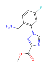 COC(=O)c1ncn(-c2cc(F)ccc2CN)n1